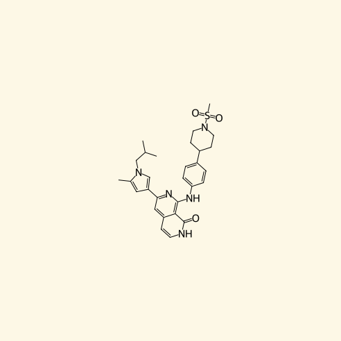 Cc1cc(-c2cc3cc[nH]c(=O)c3c(Nc3ccc(C4CCN(S(C)(=O)=O)CC4)cc3)n2)cn1CC(C)C